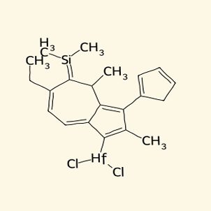 CCC1=CC=C2C(=C(C3=CC=CC3)C(C)=[C]2[Hf]([Cl])[Cl])C(C)C1=[Si](C)C